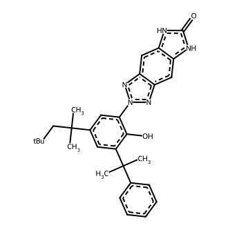 CC(C)(C)CC(C)(C)c1cc(-n2nc3cc4[nH]c(=O)[nH]c4cc3n2)c(O)c(C(C)(C)c2ccccc2)c1